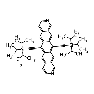 CC(C)[Si](C#Cc1c2cc3ccncc3cc2c(C#C[Si](C(C)C)(C(C)C)C(C)C)c2cc3cnccc3cc12)(C(C)C)C(C)C